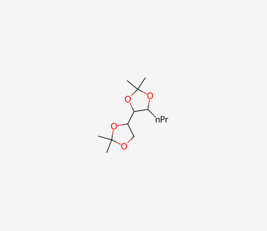 CCCC1OC(C)(C)OC1C1COC(C)(C)O1